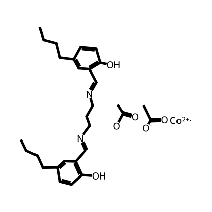 CC(=O)[O-].CC(=O)[O-].CCCCc1ccc(O)c(C=NCCCN=Cc2cc(CCCC)ccc2O)c1.[Co+2]